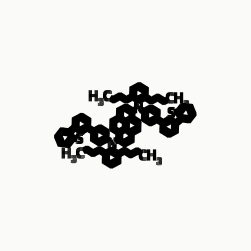 CCCCc1cccc(CCCC)c1N(c1ccc(-c2cccc3c2sc2ccccc23)cc1)c1ccc2ccc3c(N(c4ccc(-c5cccc6c5sc5ccccc56)cc4)c4c(CCCC)cccc4CCCC)ccc4ccc1c2c43